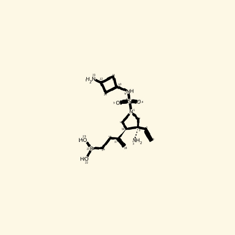 C=C[C@]1(N)CN(S(=O)(=O)NC2CC(N)C2)C[C@@H]1C(=C)CCB(O)O